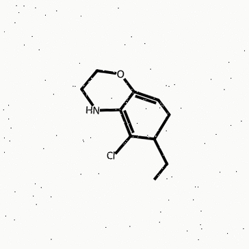 CCC1CC=C2OCCNC2=C1Cl